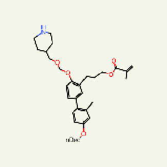 C=C(C)C(=O)OCCCc1cc(-c2ccc(OCCCCCCCCCC)cc2C)ccc1OCOCC1CCNCC1